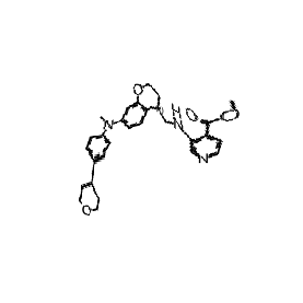 COC(=O)c1ccncc1NC[C@@H]1CCOc2cc(N(C)c3ccc(C4CCOCC4)cc3)ccc21